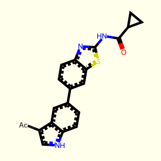 CC(=O)c1c[nH]c2ccc(-c3ccc4nc(NC(=O)C5CC5)sc4c3)cc12